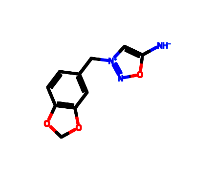 [NH-]c1c[n+](Cc2ccc3c(c2)OCO3)no1